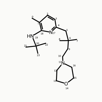 Cc1ccc(CC(C)(C)CCN2CCOCC2)nc1NC(C)(C)C